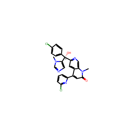 Cn1cncc1[C@@](O)(c1ccc(Cl)cc1)c1cc2c(-c3cccc(Cl)n3)cc(=O)n(C)c2cn1